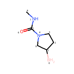 BC1CCN(C(=O)NC)C1